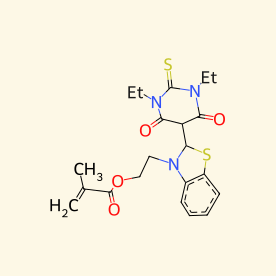 C=C(C)C(=O)OCCN1c2ccccc2SC1C1C(=O)N(CC)C(=S)N(CC)C1=O